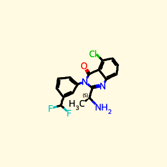 C[C@H](N)c1nc2cccc(Cl)c2c(=O)n1-c1cccc(C(F)F)c1